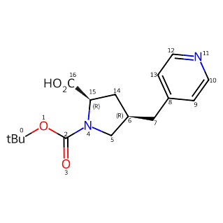 CC(C)(C)OC(=O)N1C[C@H](Cc2ccncc2)C[C@@H]1C(=O)O